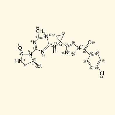 CC[C@H]1CNC(=O)N1c1nc(C)nc(NC2(c3cn(C(=O)c4ccc(Cl)cc4)cn3)CC2)n1